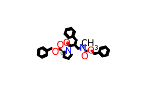 CN(CC(Cc1ccccc1)C(=O)N1CCC[C@H]1C(=O)OCc1ccccc1)C(=O)OCc1ccccc1